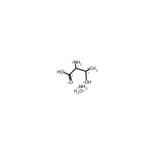 CC(O)C(N)C(=O)O.N.O